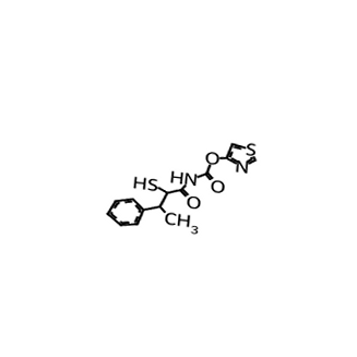 CC(c1ccccc1)C(S)C(=O)NC(=O)Oc1cscn1